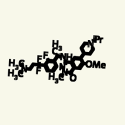 COc1cc2c(=O)n(C)nc(N[C@H](C)c3cccc(C(F)(F)CCN(C)C)c3F)c2cc1C1CCN(C(C)C)CC1